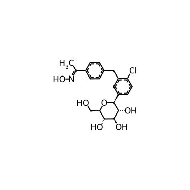 CC(=NO)c1ccc(Cc2cc([C@@H]3O[C@H](CO)[C@@H](O)[C@H](O)[C@H]3O)ccc2Cl)cc1